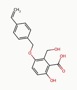 C=Cc1ccc(COc2ccc(O)c(C(=O)O)c2CO)cc1